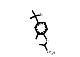 CCC(C)(C)c1ccc(OC(C)C(=O)O)c(C)c1